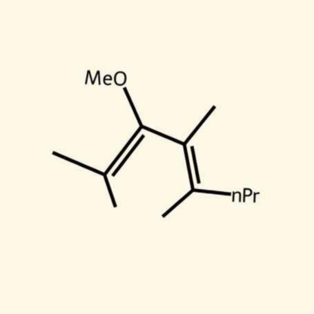 CCC/C(C)=C(\C)C(OC)=C(C)C